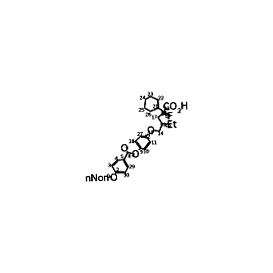 CCCCCCCCCOc1ccc(C(=O)Oc2ccc(OCC(CC)C[C@@](F)(C(=O)O)C3CCCCC3)cc2)cc1